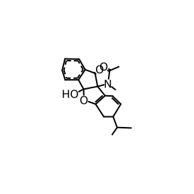 CC(=O)N(C)C12C(=O)c3ccccc3C1(O)OC1=C2C=CC(C(C)C)C1